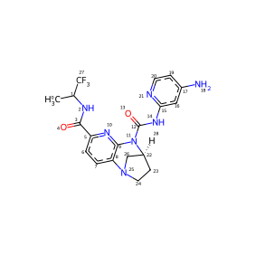 CC(NC(=O)c1ccc2c(n1)N(C(=O)Nc1cc(N)ccn1)[C@H]1CCN2C1)C(F)(F)F